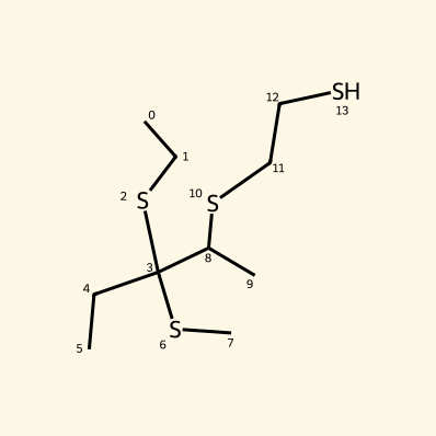 CCSC(CC)(SC)C(C)SCCS